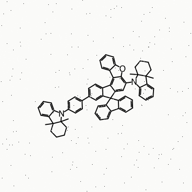 CC12CCCCC1(C)N(c1ccc(-c3ccc4c(c3)C3(c5ccccc5-c5ccccc53)c3cc(N5c6ccccc6C6(C)CCCCC56C)c5oc6ccccc6c5c3-4)cc1)c1ccccc12